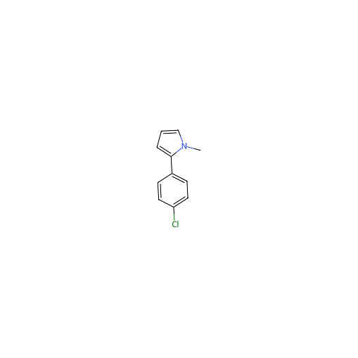 Cn1cccc1-c1ccc(Cl)cc1